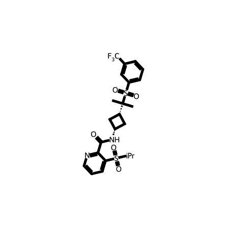 CC(C)S(=O)(=O)c1cccnc1C(=O)N[C@H]1C[C@@H](C(C)(C)S(=O)(=O)c2cccc(C(F)(F)F)c2)C1